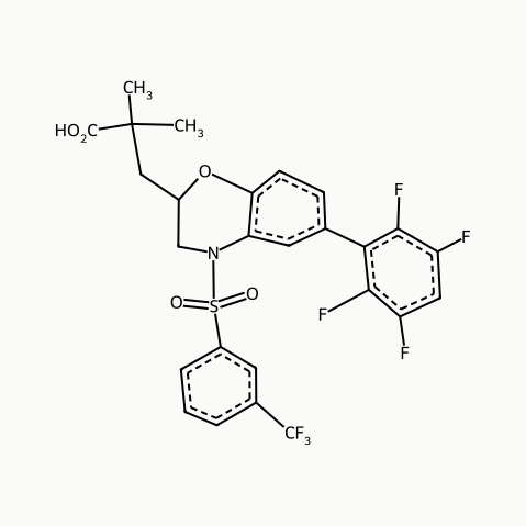 CC(C)(CC1CN(S(=O)(=O)c2cccc(C(F)(F)F)c2)c2cc(-c3c(F)c(F)cc(F)c3F)ccc2O1)C(=O)O